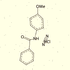 COc1ccc(NC(=O)c2ccccc2)cc1.Cl.N#N